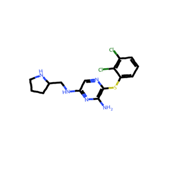 Nc1nc(NCC2CCCN2)cnc1Sc1cccc(Cl)c1Cl